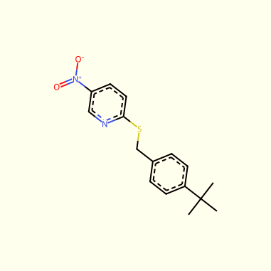 CC(C)(C)c1ccc(CSc2ccc([N+](=O)[O-])cn2)cc1